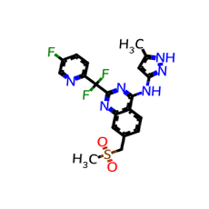 Cc1cc(Nc2nc(C(F)(F)c3ccc(F)cn3)nc3cc(CS(C)(=O)=O)ccc23)n[nH]1